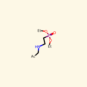 CCOP(=O)(CCNCC(C)=O)OCC